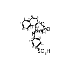 O=[SH](=O)Oc1ccc2ccccc2c1N=Nc1ccc(S(=O)(=O)O)cc1